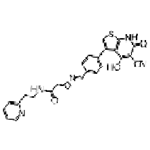 N#Cc1c(O)c2c(-c3ccc(/C=N/OCC(=O)NCCc4ccccn4)cc3)csc2[nH]c1=O